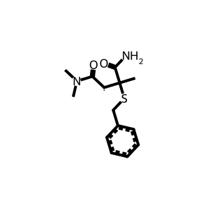 CN(C)C(=O)[CH]C(C)(SCc1ccccc1)C(N)=O